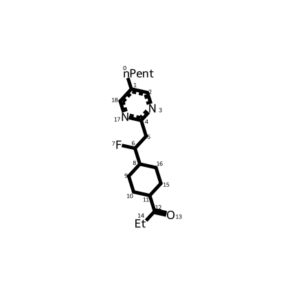 CCCCCc1cnc(CC(F)C2CCC(C(=O)CC)CC2)nc1